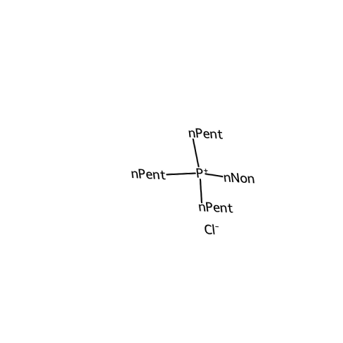 CCCCCCCCC[P+](CCCCC)(CCCCC)CCCCC.[Cl-]